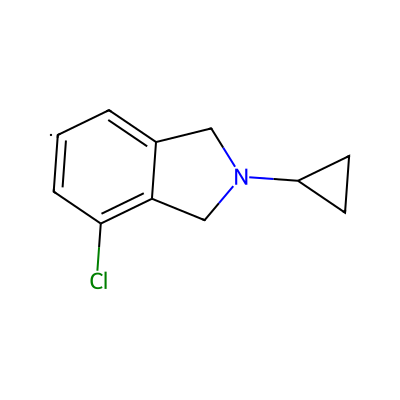 Clc1c[c]cc2c1CN(C1CC1)C2